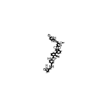 COc1nc(O[C@H]2CCc3c(-c4cccc(C(=O)Nc5ccc(CNCC6CCC(=O)N6)cn5)c4C#N)cccc32)c(Cl)cc1CNCC1CCC(=O)N1